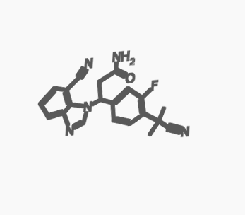 CC(C)(C#N)c1ccc(C(CC(N)=O)n2cnc3cccc(C#N)c32)cc1F